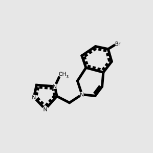 Cn1cnnc1CN1C=Cc2cc(Br)ccc2C1